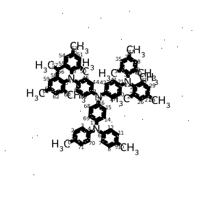 Cc1ccc(N(c2ccc(C)cc2)c2ccc(N(c3ccc(N(c4c(C)cc(C)cc4C)c4c(C)cc(C)cc4C)cc3)c3ccc(N4c5c(C)cc(C)cc5C(C)c5cc(C)cc(C)c54)cc3)cc2)cc1